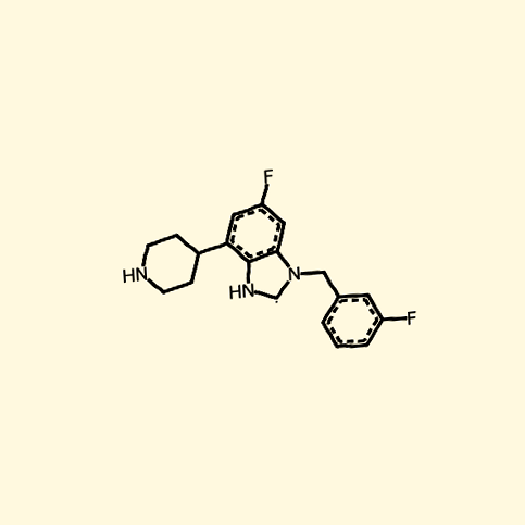 Fc1cccc(CN2[CH]Nc3c(C4CCNCC4)cc(F)cc32)c1